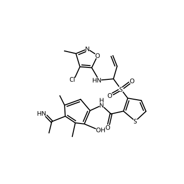 C=CC(Nc1onc(C)c1Cl)S(=O)(=O)c1ccsc1C(=O)Nc1cc(C)c(C(C)=N)c(C)c1O